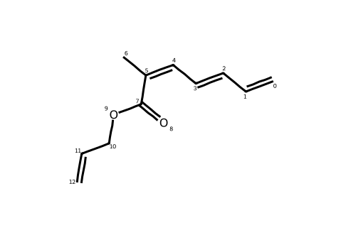 C=CC=CC=C(C)C(=O)OCC=C